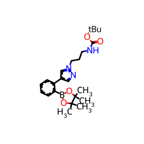 CC(C)(C)OC(=O)NCCCn1cc(-c2ccccc2B2OC(C)(C)C(C)(C)O2)cn1